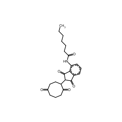 CCCCCCC(=O)Nc1cccc2c1C(=O)C(C1CCC(=O)CCCC1=O)C2=O